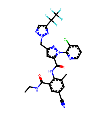 CCNC(=O)c1cc(C#N)cc(C)c1NC(=O)c1cc(Cn2ncc(C(F)(F)C(F)(F)F)n2)nn1-c1ncccc1Cl